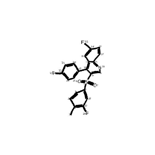 Cc1ccc(S(=O)(=O)c2cnc3ccc(F)cc3c2-c2ccc(F)cc2)cc1F